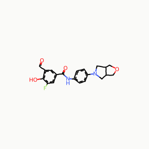 O=Cc1cc(C(=O)Nc2ccc(N3CC4COCC4C3)cc2)cc(F)c1O